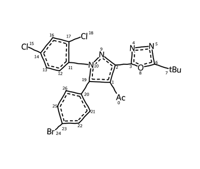 CC(=O)c1c(-c2nnc(C(C)(C)C)o2)nn(-c2ccc(Cl)cc2Cl)c1-c1ccc(Br)cc1